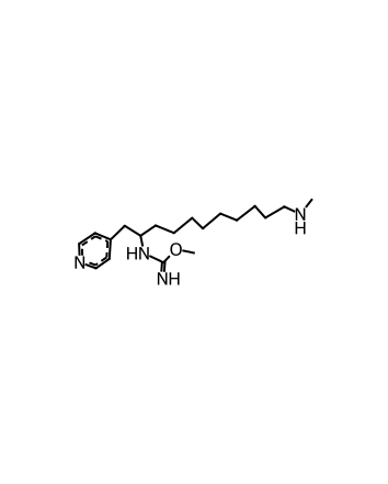 CNCCCCCCCCCC(Cc1ccncc1)NC(=N)OC